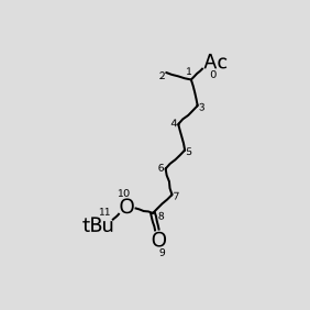 CC(=O)C(C)CCCCCC(=O)OC(C)(C)C